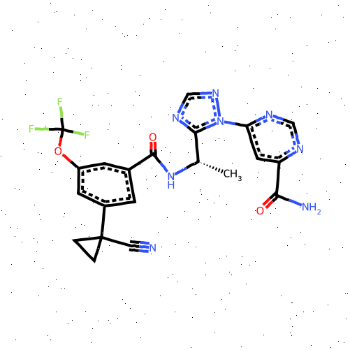 C[C@H](NC(=O)c1cc(OC(F)(F)F)cc(C2(C#N)CC2)c1)c1ncnn1-c1cc(C(N)=O)ncn1